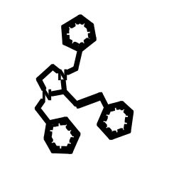 C(=C\C1N(Cc2ccccc2)CCN1Cc1ccccc1)/c1ccccc1